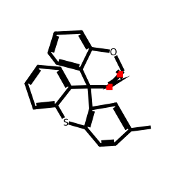 Cc1ccc2c(c1)C1(c3ccccc3Oc3ccccc31)c1ccccc1S2